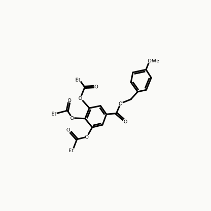 CCC(=O)Oc1cc(C(=O)OCc2ccc(OC)cc2)cc(OC(=O)CC)c1OC(=O)CC